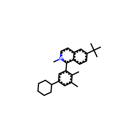 Cc1cc(C2CCCCC2)cc(-c2c3ccc(C(C)(C)C)cc3cc[n+]2C)c1C